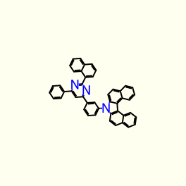 c1ccc(-c2cc(-c3cccc(-n4c5ccc6ccccc6c5c5c6ccccc6ccc54)c3)nc(-c3cccc4ccccc34)n2)cc1